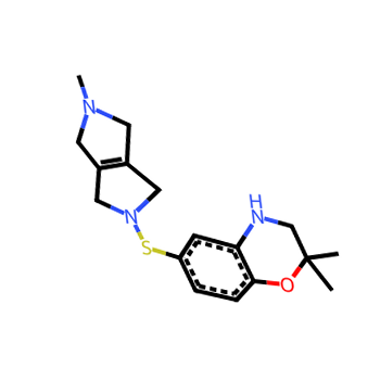 CN1CC2=C(C1)CN(Sc1ccc3c(c1)NCC(C)(C)O3)C2